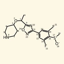 CC(OC1CCNCC1)c1nc(-c2cc(F)c([S+](C)[O-])c(F)c2)no1